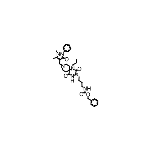 CCCN1C(=O)[C@H](CCCCNC(=O)OCc2ccccc2)NC(=O)C12CCN(Cc1c(C)n(C)n(-c3ccccc3)c1=O)CC2